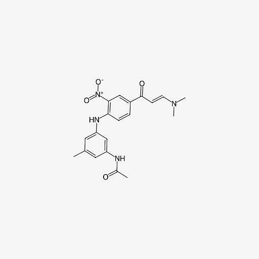 CC(=O)Nc1cc(C)cc(Nc2ccc(C(=O)/C=C/N(C)C)cc2[N+](=O)[O-])c1